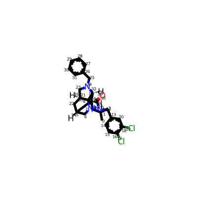 CC(C)C[C@@H]1[C@@H]2CN[C@@]3(C(=O)NCc4ccc(Cl)c(Cl)c4)[C@@H](C2)CN(Cc2ccccc2)[C@@H]13